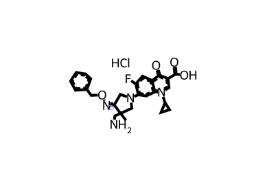 CC1(CN)CN(c2cc3c(cc2F)c(=O)c(C(=O)O)cn3C2CC2)C/C1=N\OCc1ccccc1.Cl